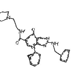 O=C(NCCN1CCOCC1)c1cn(-c2ccccc2)c2nc(NCc3ccccc3)ncc2c1=O